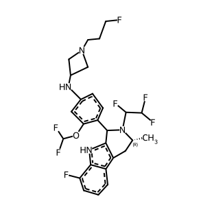 C[C@@H]1Cc2c([nH]c3c(F)cccc23)C(c2ccc(NC3CN(CCCF)C3)cc2OC(F)F)N1C(F)C(F)F